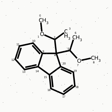 COC(C)C1(C(C)OC)c2ccccc2-c2ccccc21